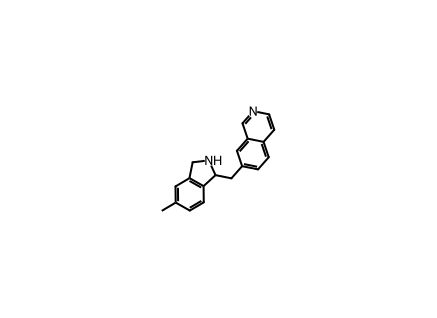 Cc1ccc2c(c1)CNC2Cc1ccc2ccncc2c1